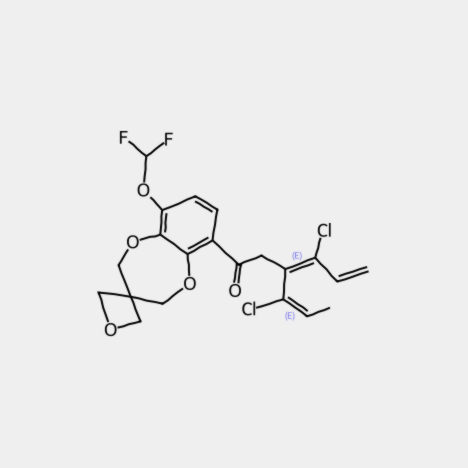 C=C/C(Cl)=C(CC(=O)c1ccc(OC(F)F)c2c1OCC1(COC1)CO2)\C(Cl)=C/C